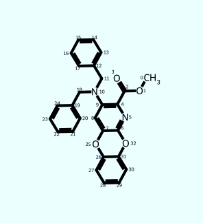 COC(=O)c1nc2c(cc1N(Cc1ccccc1)Cc1ccccc1)Oc1ccccc1O2